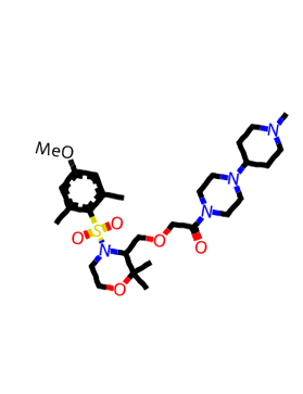 COc1cc(C)c(S(=O)(=O)N2CCOC(C)(C)C2COCC(=O)N2CCN(C3CCN(C)CC3)CC2)c(C)c1